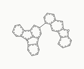 c1cc(-c2cc3c4ccccc4n4c5ccccc5c(c2)c34)c2cc3c(cc2c1)oc1ccccc13